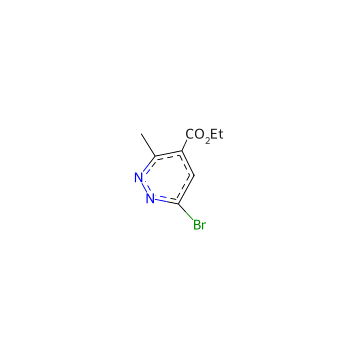 CCOC(=O)c1cc(Br)nnc1C